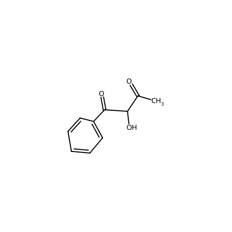 CC(=O)C(O)C(=O)c1ccccc1